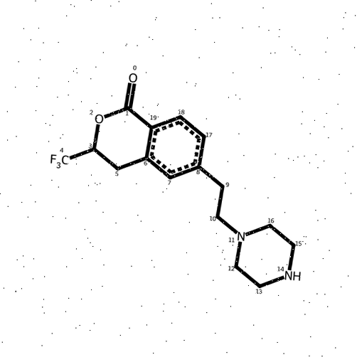 O=C1OC(C(F)(F)F)Cc2cc(CCN3CCNCC3)ccc21